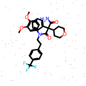 COc1ccc(N(CCc2ccc(C(F)(F)F)cc2)C(=O)C(C(N)=O)(c2ccccc2)C2CCOCC2)cc1OC